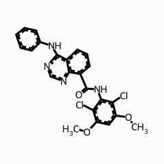 COc1cc(OC)c(Cl)c(NC(=O)c2cccc3c(Nc4ccccc4)ncnc23)c1Cl